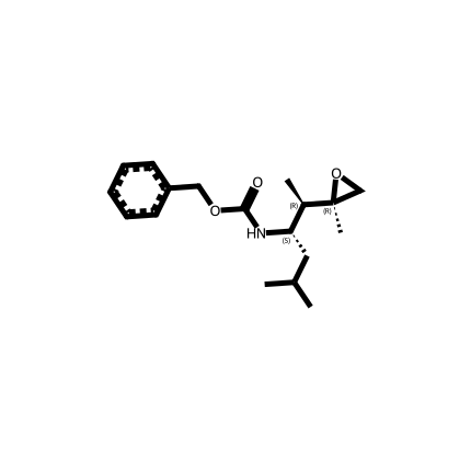 CC(C)C[C@H](NC(=O)OCc1ccccc1)[C@@H](C)[C@]1(C)CO1